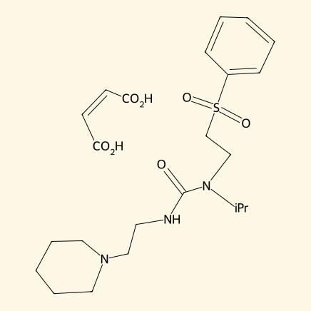 CC(C)N(CCS(=O)(=O)c1ccccc1)C(=O)NCCN1CCCCC1.O=C(O)/C=C\C(=O)O